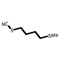 CSCCCCSC#N